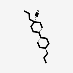 CCC[C@H]1CC[C@H]([C@H]2CC[C@](C#N)(CCC)CC2)CC1